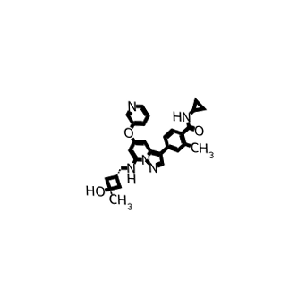 Cc1cc(-c2cnn3c(NC[C@H]4C[C@](C)(O)C4)cc(Oc4cccnc4)cc23)ccc1C(=O)NC1CC1